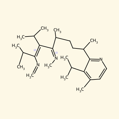 C=N/C(=C(\C(=N/C)C(C)CCC(C)c1nccc(C)c1C(C)C)C(C)C)C(C)C